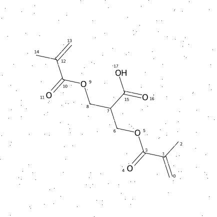 C=C(C)C(=O)OCC(COC(=O)C(=C)C)C(=O)O